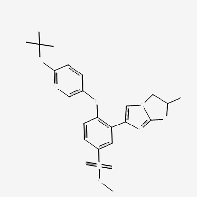 CNS(=O)(=O)c1ccc(Nc2ccc(OC(F)(F)F)nc2)c(-c2cn3c(n2)OC(C)C3)c1